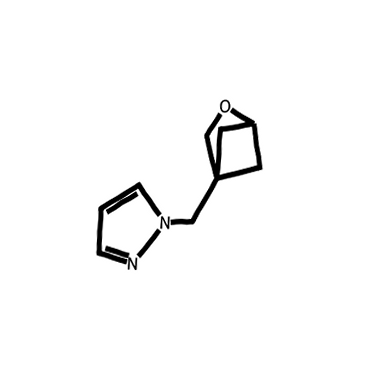 c1cnn(CC23COC(C2)C3)c1